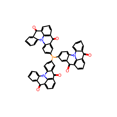 O=c1c2ccccc2n2c3ccc(P(c4ccc5c(c4)c(=O)c4cccc6c(=O)c7ccccc7n5c64)c4ccc5c(c4)c(=O)c4cccc6c(=O)c7ccccc7n5c64)cc3c(=O)c3cccc1c32